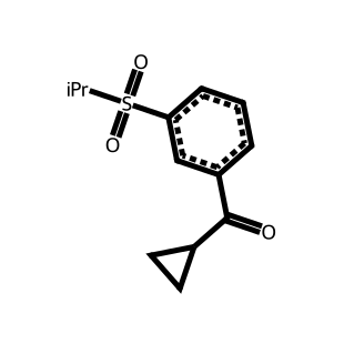 CC(C)S(=O)(=O)c1cccc(C(=O)C2CC2)c1